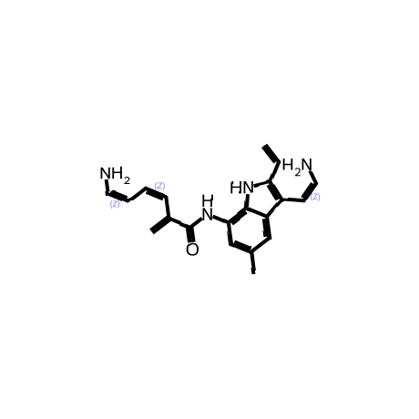 C=Cc1[nH]c2c(NC(=O)C(=C)/C=C\C=C/N)cc(C)cc2c1/C=C\N